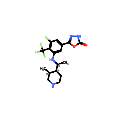 C[C@@H]1CNCC[C@@H]1[C@H](C)Nc1cc(-c2n[nH]c(=O)o2)cc(F)c1C(F)(F)F